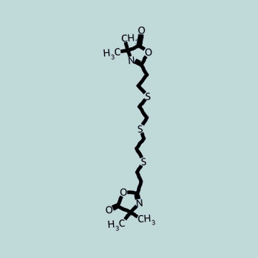 CC1(C)N=C(CCSCCSCCSCCC2=NC(C)(C)C(=O)O2)OC1=O